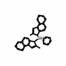 CC1=Cc2c(ccc3ccccc23)C1[SiH](c1ccccc1)C1C(C)=Cc2c1ccc1ccccc21